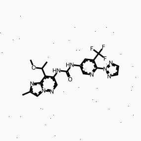 COC(C)c1c(NC(=O)Nc2cnc(-n3nccn3)c(C(F)(F)F)c2)cnn2cc(C)nc12